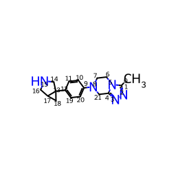 Cc1nnc2n1CCN(c1ccc(C34CNCC3C4)cc1)C2